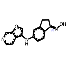 O/N=C1\CCc2cc(Nc3coc4cnccc34)ccc21